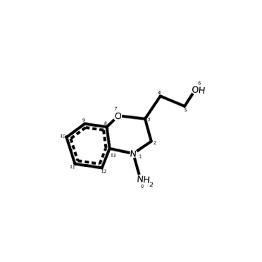 NN1CC(CCO)Oc2ccccc21